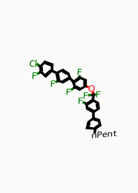 CCCCCc1ccc(-c2ccc(C(F)(F)Oc3cc(F)c(-c4ccc(-c5ccc(Cl)c(F)c5)c(F)c4)c(F)c3)c(F)c2)cc1